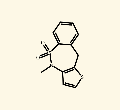 CN1c2ccsc2Cc2ccccc2S1(=O)=O